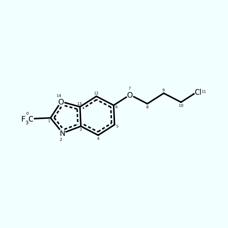 FC(F)(F)c1nc2ccc(OCCCCl)cc2o1